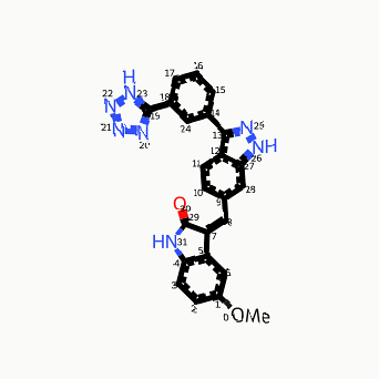 COc1ccc2c(c1)/C(=C/c1ccc3c(-c4cccc(-c5nnn[nH]5)c4)n[nH]c3c1)C(=O)N2